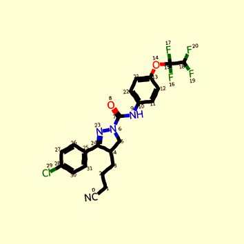 N#CCCCC1CN(C(=O)Nc2ccc(OC(F)(F)C(F)F)cc2)N=C1c1ccc(Cl)cc1